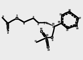 CC(=S)OCCCC[C@@H](OS(C)(=O)=O)c1cccnc1